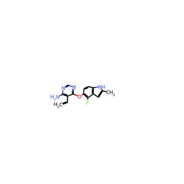 C=Cc1c(N)ncnc1Oc1ccc2[nH]c(C)cc2c1F